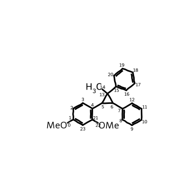 COc1ccc(C2C(c3ccccc3)C2(C)c2ccccc2)c(OC)c1